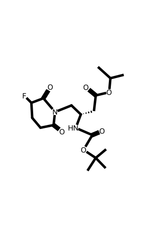 CC(C)OC(=O)C[C@@H](CN1C(=O)CCC(F)C1=O)NC(=O)OC(C)(C)C